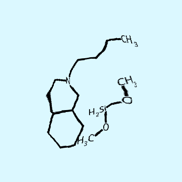 CCCCN1CCC2CCCCC2C1.CO[SiH2]OC